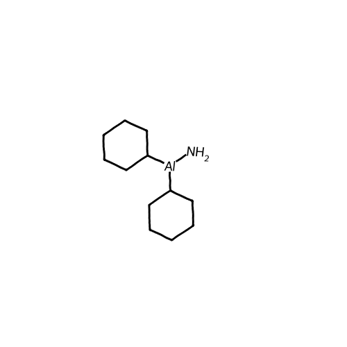 [NH2][Al]([CH]1CCCCC1)[CH]1CCCCC1